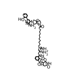 N/C(=C\N(N)CCCCCCCCCCCC(=O)N1CCOC2(CCN(c3cc(-c4ccccc4O)nnc3N)CC2)C1)CNc1cccc2c1C(=O)N(C1CCC(=O)NC1=O)C2O